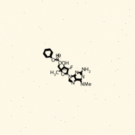 CNc1nc(N)nc2c1ncn2[C@@H]1O[C@](C)(CO[PH](=O)Oc2ccccc2)[C@@H](O)[C@@H]1F